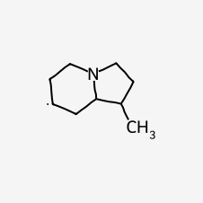 CC1CCN2CC[CH]CC12